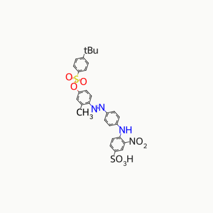 Cc1cc(OS(=O)(=O)c2ccc(C(C)(C)C)cc2)ccc1/N=N/c1ccc(Nc2ccc(S(=O)(=O)O)cc2[N+](=O)[O-])cc1